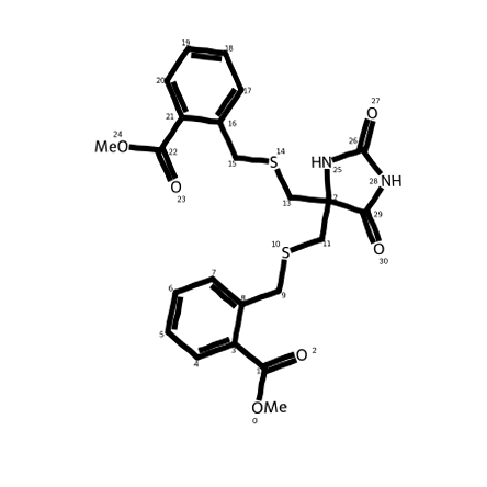 COC(=O)c1ccccc1CSCC1(CSCc2ccccc2C(=O)OC)NC(=O)NC1=O